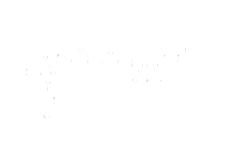 O=S(=O)(c1ccc(Oc2cccc(Oc3ccc(S(=O)(=O)c4ccccc4Oc4ccc(Br)cc4)cc3)c2)cc1)c1ccccc1Oc1ccc(Br)cc1